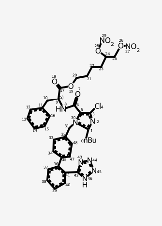 CCCCc1nc(Cl)c(C(=O)N[C@@H](Cc2ccccc2)C(=O)OCCCCC(CO[N+](=O)[O-])O[N+](=O)[O-])n1Cc1ccc(-c2ccccc2-c2nnn[nH]2)cc1